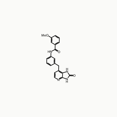 COc1cccc(C(=O)Nc2cccc(Cc3ccnc4[nH]c(=O)[nH]c34)c2)c1